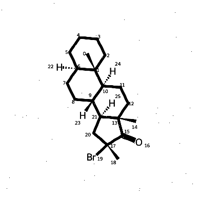 C[C@]12CCCC[C@@H]1CC[C@@H]1[C@@H]2CC[C@]2(C)C(=O)[C@](C)(Br)C[C@@H]12